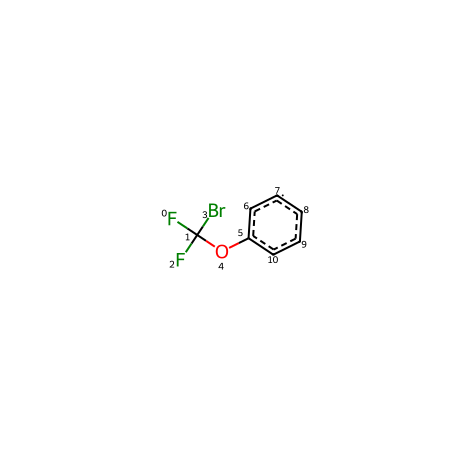 FC(F)(Br)Oc1c[c]ccc1